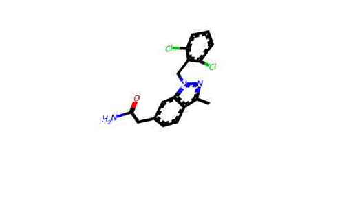 Cc1nn(Cc2c(Cl)cccc2Cl)c2cc(CC(N)=O)ccc12